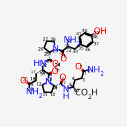 NC(=O)CC[C@H](NC(=O)[C@@H]1CCCN1C(=O)[C@H](CCC(N)=O)NC(=O)[C@@H]1CCCN1C(=O)[C@@H](N)Cc1ccc(O)cc1)C(=O)O